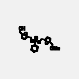 COCc1ccc(COP(=O)(OCc2ccc(CO)o2)c2ccccc2)o1